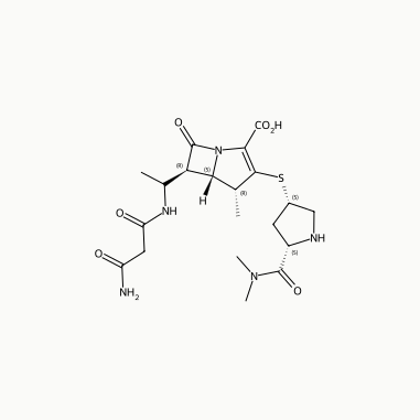 CC(NC(=O)CC(N)=O)[C@H]1C(=O)N2C(C(=O)O)=C(S[C@@H]3CN[C@H](C(=O)N(C)C)C3)[C@H](C)[C@H]12